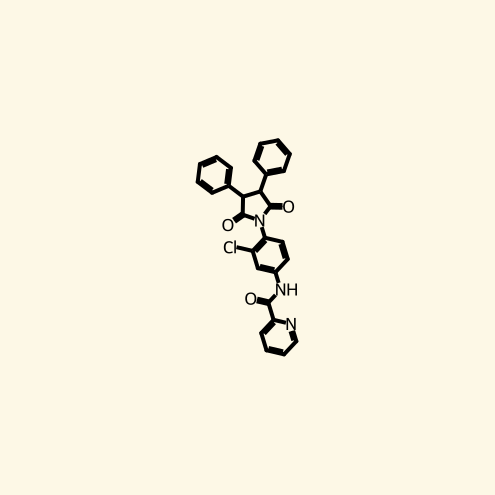 O=C(Nc1ccc(N2C(=O)C(c3ccccc3)C(c3ccccc3)C2=O)c(Cl)c1)c1ccccn1